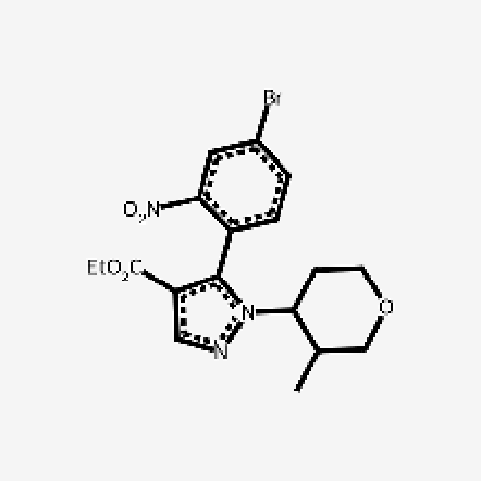 CCOC(=O)c1cnn(C2CCOCC2C)c1-c1ccc(Br)cc1[N+](=O)[O-]